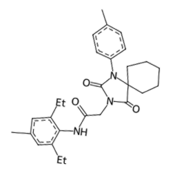 CCc1cc(C)cc(CC)c1NC(=O)CN1C(=O)N(c2ccc(C)cc2)C2(CCCCC2)C1=O